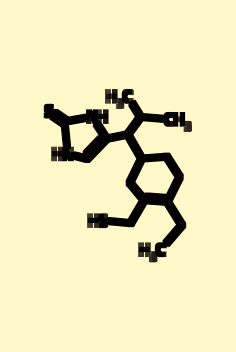 CCC1=C(CS)CC(C(c2c[nH]c(=S)[nH]2)C(C)C)CC1